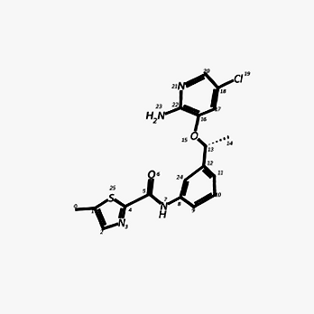 Cc1cnc(C(=O)Nc2cccc([C@@H](C)Oc3cc(Cl)cnc3N)c2)s1